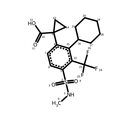 CNS(=O)(=O)c1ccc(C2(C(=O)O)CC2)c(C2CCCCC2)c1C(F)(F)F